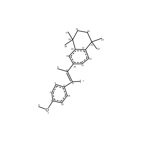 COc1ccc(C(I)=C(C)c2ccc3c(c2)C(C)(C)CCC3(C)C)cc1